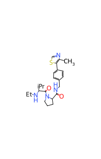 CCNC(C(=O)N1CCCC1C(=O)NCc1ccc(-c2scnc2C)cc1)C(C)C